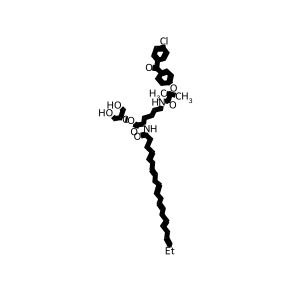 CCC=CCC=CCC=CCC=CCC=CCC=CCCC(=O)NC(CCCCNC(=O)C(C)(C)Oc1ccc(C(=O)c2ccc(Cl)cc2)cc1)C(=O)OCC(CO)CO